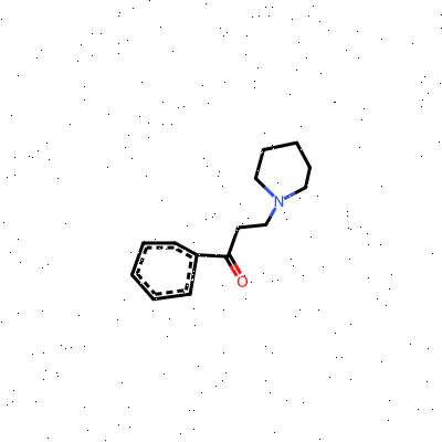 O=C(CCN1CCCCC1)c1ccccc1